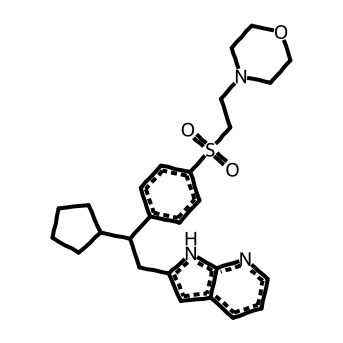 O=S(=O)(CCN1CCOCC1)c1ccc(C(Cc2cc3cccnc3[nH]2)C2CCCC2)cc1